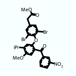 COC(=O)Cc1cc(Br)c(Oc2cc(C(C)C)c(OC)cc2C(=O)c2cccc([N+](=O)[O-])c2)c(Br)c1